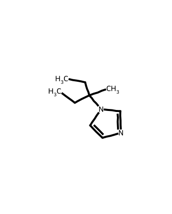 CCC(C)(CC)n1ccnc1